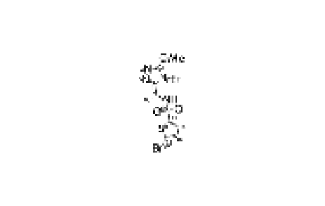 CCn1c(OC)nnc1[C@@H](C)NS(=O)(=O)c1ccc(Br)s1